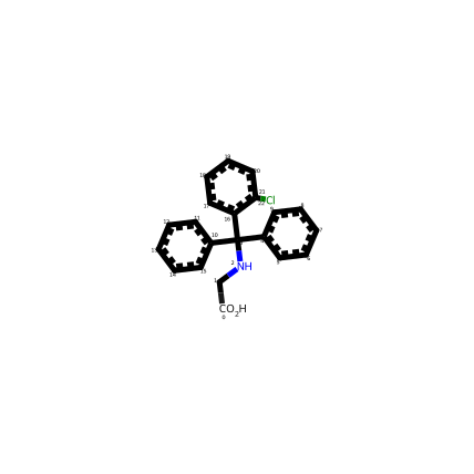 O=C(O)CNC(c1ccccc1)(c1ccccc1)c1ccccc1Cl